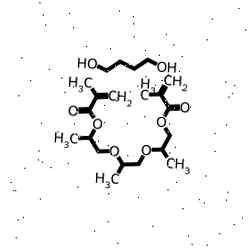 C=C(C)C(=O)OCC(C)OCC(C)OCC(C)OC(=O)C(=C)C.OCCCCO